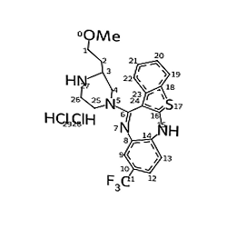 COCCC1CN(C2=Nc3cc(C(F)(F)F)ccc3Nc3sc4ccccc4c32)CCN1.Cl.Cl